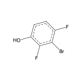 Oc1ccc(F)c(Br)c1F